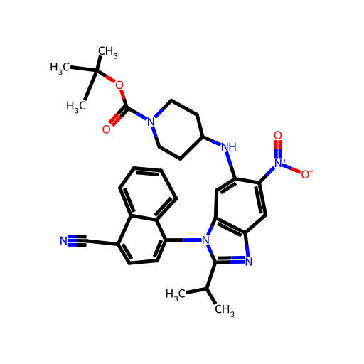 CC(C)c1nc2cc([N+](=O)[O-])c(NC3CCN(C(=O)OC(C)(C)C)CC3)cc2n1-c1ccc(C#N)c2ccccc12